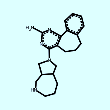 Nc1nc2c(c(N3CC4CCCNCC4C3)n1)CCCc1ccccc1-2